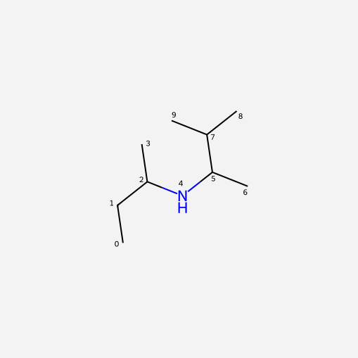 CCC(C)NC(C)C(C)C